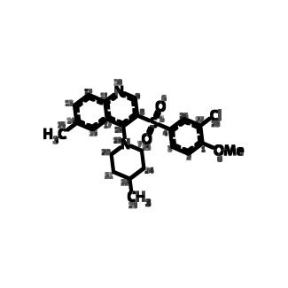 COc1ccc(S(=O)(=O)c2cnc3ccc(C)cc3c2N2CCC(C)CC2)cc1Cl